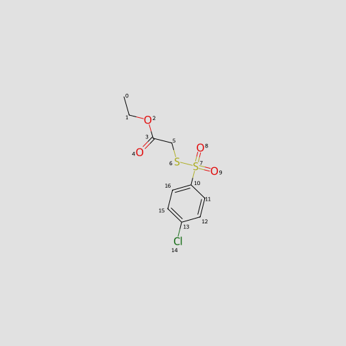 CCOC(=O)CSS(=O)(=O)c1ccc(Cl)cc1